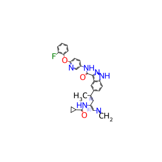 C=N/C=C(\C=C(/C)c1ccc2[nH]nc(C(=O)Nc3ccc(Oc4ccccc4F)nc3)c2c1)NC(=O)C1CC1